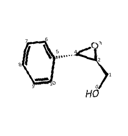 OC[C@@H]1O[C@H]1c1ccccc1